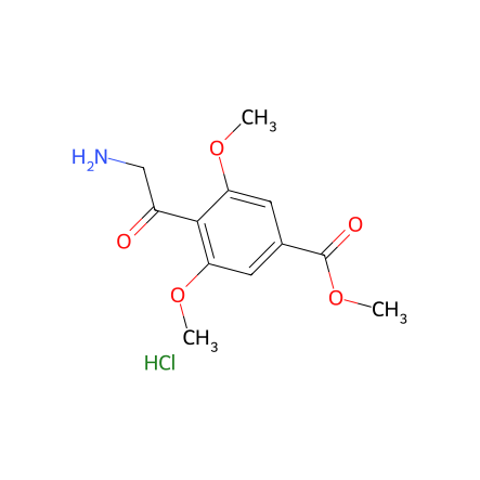 COC(=O)c1cc(OC)c(C(=O)CN)c(OC)c1.Cl